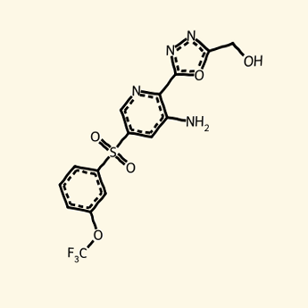 Nc1cc(S(=O)(=O)c2cccc(OC(F)(F)F)c2)cnc1-c1nnc(CO)o1